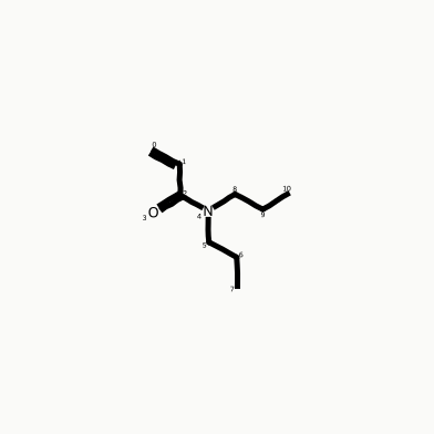 C=[C]C(=O)N(CCC)CCC